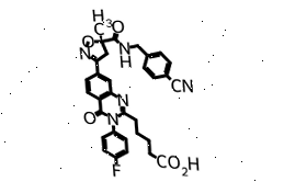 C[C@@]1(C(=O)NCc2ccc(C#N)cc2)CC(c2ccc3c(=O)n(-c4ccc(F)cc4)c(CCCCC(=O)O)nc3c2)=NO1